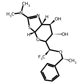 C[C@@H](O[C@H](C1O[C@@H]2SC(N(C)C)=N[C@@H]2[C@@H](O)[C@@H]1O)C(F)(F)F)c1ccccc1